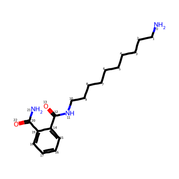 NCCCCCCCCCCNC(=O)c1ccccc1C(N)=O